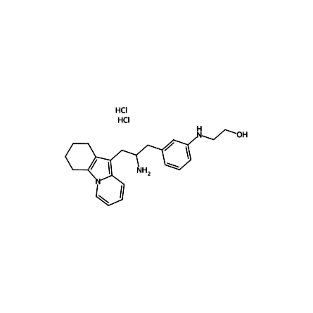 Cl.Cl.NC(Cc1cccc(NCCO)c1)Cc1c2c(n3ccccc13)CCCC2